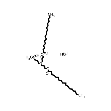 CCCCCCCCCCCCCCCCCC(=O)OCCCN(CCCOC(=O)CCCCCCCCCCCCCCCCC)CCCN(C)C.Cl.Cl